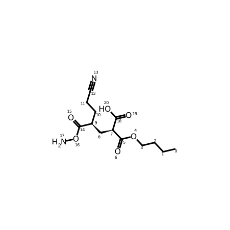 CCCCOC(=O)[C@@H](C[C@H](CCC#N)C(=O)ON)C(=O)O